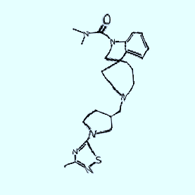 Cc1nsc(N2CC[C@@H](CN3CCC4(CC3)CN(C(=O)N(C)C)c3ccccc34)C2)n1